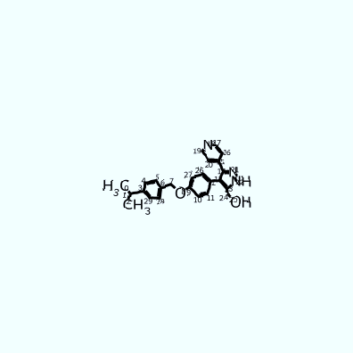 CC(C)c1ccc(COc2ccc(-c3c(-c4ccncc4)n[nH]c3CO)cc2)cc1